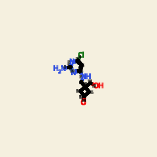 Nc1nc(Cl)cc(NCC2(CO)CC(=O)C2)n1